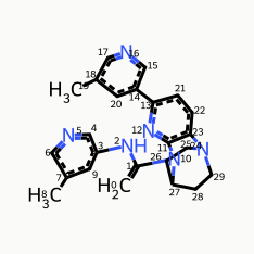 C=C(Nc1cncc(C)c1)N1c2nc(-c3cncc(C)c3)ccc2N2CCC1CC2